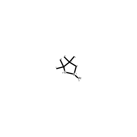 CC(C)B1CC(C)(C)C(C)(C)O1